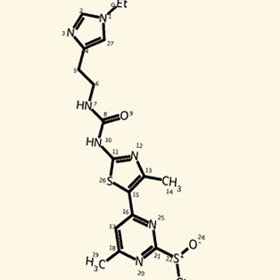 CCn1cnc(CCNC(=O)Nc2nc(C)c(-c3cc(C)nc([S+](C)[O-])n3)s2)c1